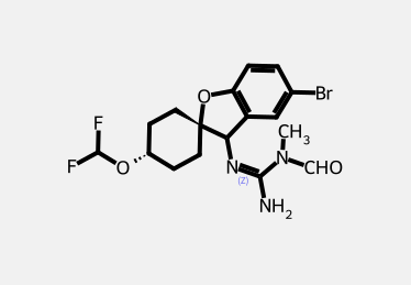 CN(C=O)/C(N)=N\C1c2cc(Br)ccc2O[C@]12CC[C@@H](OC(F)F)CC2